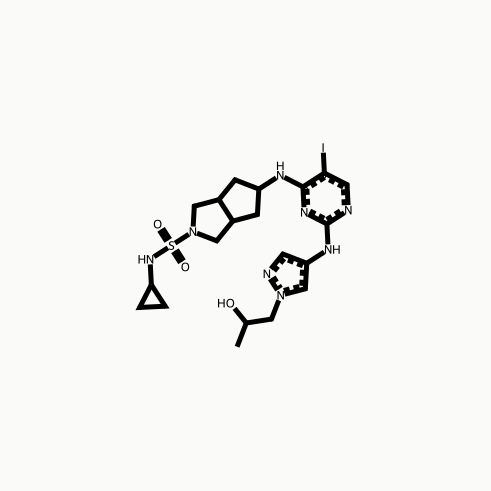 CC(O)Cn1cc(Nc2ncc(I)c(NC3CC4CN(S(=O)(=O)NC5CC5)CC4C3)n2)cn1